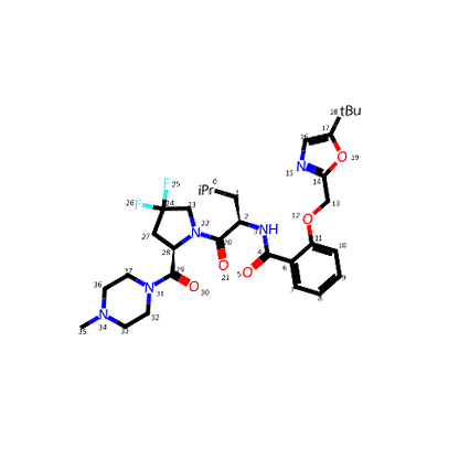 CC(C)C[C@@H](NC(=O)c1ccccc1OCc1ncc(C(C)(C)C)o1)C(=O)N1CC(F)(F)C[C@@H]1C(=O)N1CCN(C)CC1